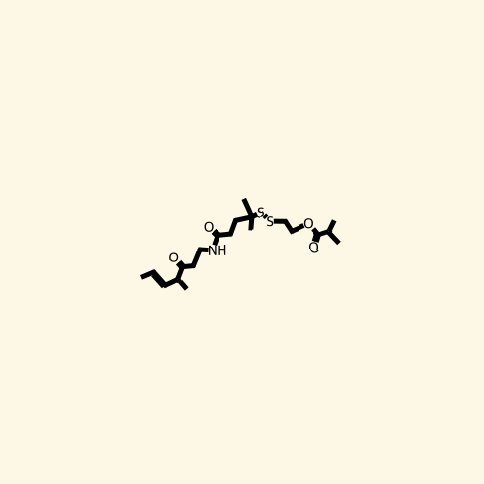 CC=CC(C)C(=O)CCNC(=O)CCC(C)(C)SSCCOC(=O)C(C)C